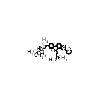 CC(CNC(=O)OC(C)(C)C)c1ccc(-c2ccc3nn(C4CCCCO4)cc3c2C(=O)C=CN(C)C)cc1